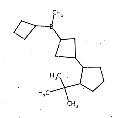 CB(C1CCC1)C1CC(C2CCCC2C(C)(C)C)C1